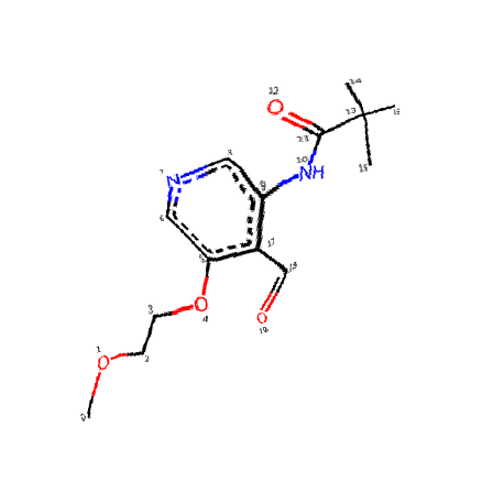 COCCOc1cncc(NC(=O)C(C)(C)C)c1C=O